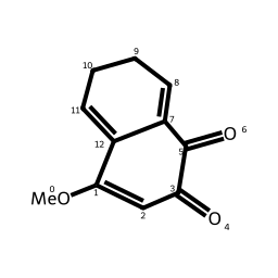 COC1=CC(=O)C(=O)C2=CCCC=C12